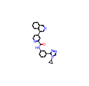 O=C(Nc1cccc(-c2nncn2C2CC2)c1)c1cc(-c2cncc3ccccc23)ccn1